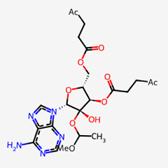 COC(C)O[C@@]1(O)[C@H](OC(=O)CCC(C)=O)[C@@H](COC(=O)CCC(C)=O)O[C@H]1n1cnc2c(N)ncnc21